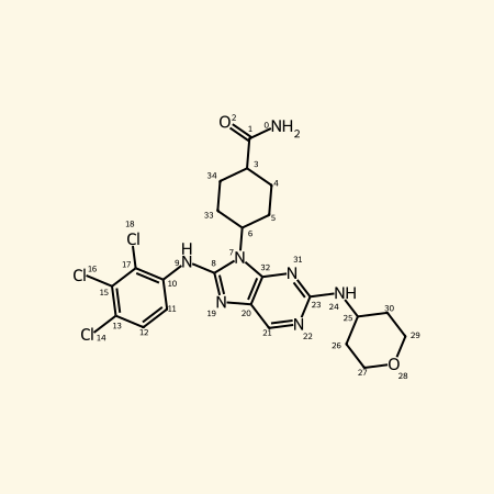 NC(=O)C1CCC(n2c(Nc3ccc(Cl)c(Cl)c3Cl)nc3cnc(NC4CCOCC4)nc32)CC1